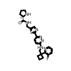 O=C(NCc1cnc(-c2ccc(NCC3(c4ncccc4F)CCC3)nn2)s1)[C@@H]1CCCN1